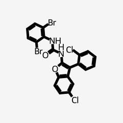 O=C(Nc1oc2ccc(Cl)cc2c1-c1ccccc1Cl)Nc1c(Br)cccc1Br